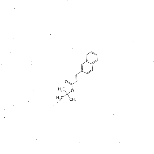 CC(C)(C)OC(=O)/C=C/c1ccc2ccccc2c1